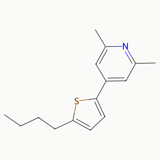 CCCCc1ccc(-c2cc(C)nc(C)c2)s1